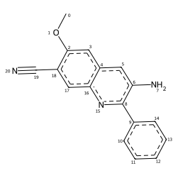 COc1cc2cc(N)c(-c3ccccc3)nc2cc1C#N